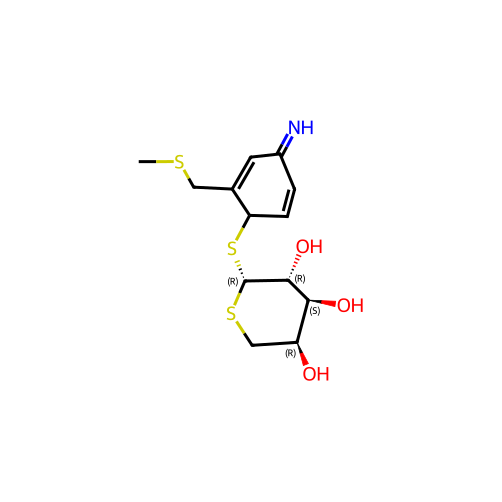 CSCC1=CC(=N)C=CC1S[C@H]1SC[C@H](O)[C@H](O)[C@H]1O